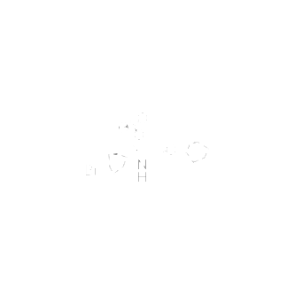 CS(=O)(=O)OC[C@@]1(c2ccc(Br)cc2)C[C@@H](OCc2ccccc2)CN1